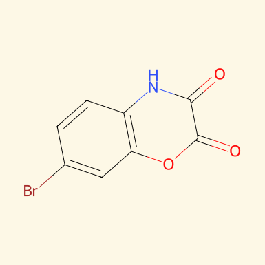 O=c1[nH]c2ccc(Br)cc2oc1=O